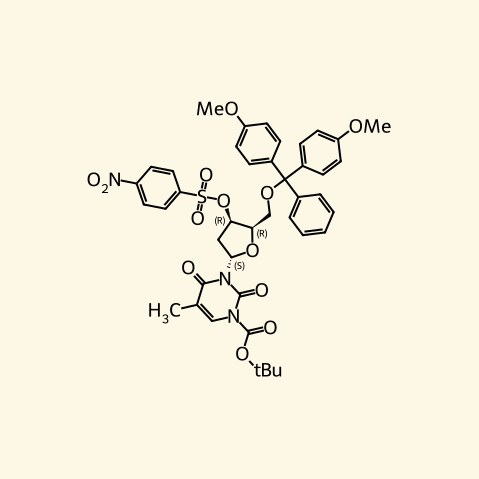 COc1ccc(C(OC[C@H]2O[C@H](n3c(=O)c(C)cn(C(=O)OC(C)(C)C)c3=O)C[C@H]2OS(=O)(=O)c2ccc([N+](=O)[O-])cc2)(c2ccccc2)c2ccc(OC)cc2)cc1